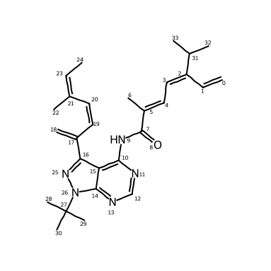 C=C/C(=C\C=C(/C)C(=O)Nc1ncnc2c1c(C(=C)/C=C\C(C)=C/C)nn2C(C)(C)C)C(C)C